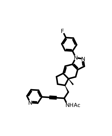 CC(=O)NC(C#Cc1cccnc1)C[C@H]1CCC2=Cc3c(cnn3-c3ccc(F)cc3)C[C@@]21C